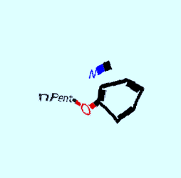 C#N.CCCCCOc1ccccc1